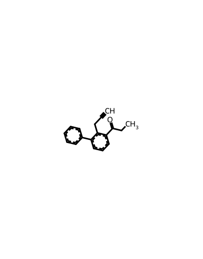 C#CCc1c(C(=O)CC)cccc1-c1ccccc1